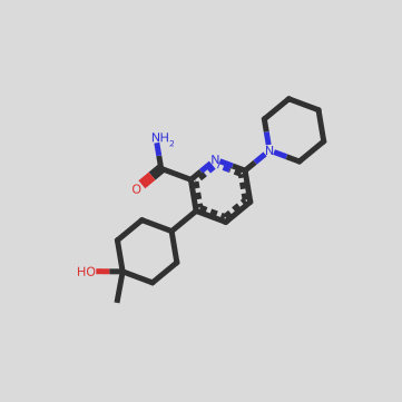 CC1(O)CCC(c2ccc(N3CCCCC3)nc2C(N)=O)CC1